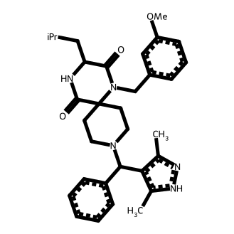 COc1cccc(CN2C(=O)C(CC(C)C)NC(=O)C23CCN(C(c2ccccc2)c2c(C)n[nH]c2C)CC3)c1